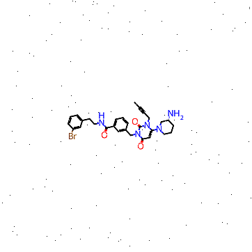 CC#CCn1c(N2CCC[C@@H](N)C2)cc(=O)n(Cc2cccc(C(=O)NCCc3cccc(Br)c3)c2)c1=O